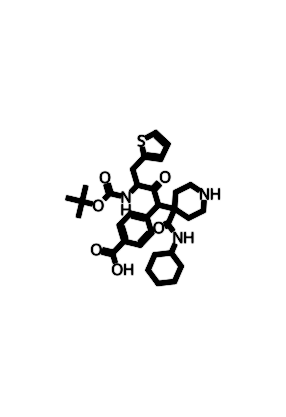 CC(C)(C)OC(=O)NC(Cc1cccs1)C(=O)C(c1ccc(C(=O)O)cc1)C1(C(=O)NC2CCCCC2)CCNCC1